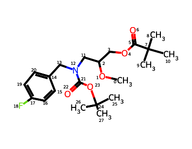 COC(COC(=O)C(C)(C)C)CN(Cc1ccc(F)cc1)C(=O)OC(C)(C)C